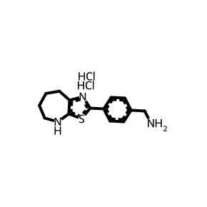 Cl.Cl.NCc1ccc(-c2nc3c(s2)NCCCC3)cc1